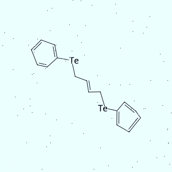 C(=CC[Te]c1ccccc1)C[Te]c1ccccc1